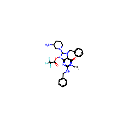 Cn1c(NCc2ccccc2)nc2c(c1=O)N(Cc1ccccc1)C(N1CCCC(N)C1)N2OC(=O)C(F)(F)F